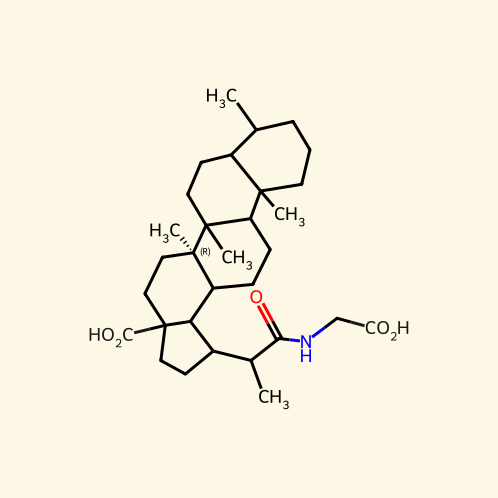 CC1CCCC2(C)C1CCC1(C)C2CCC2C3C(C(C)C(=O)NCC(=O)O)CCC3(C(=O)O)CC[C@]21C